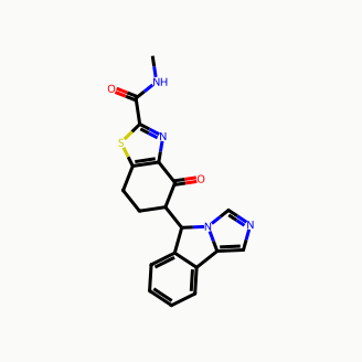 CNC(=O)c1nc2c(s1)CCC(C1c3ccccc3-c3cncn31)C2=O